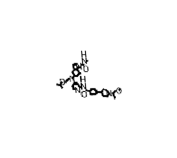 CNC(=O)n1ccc2cc(N(CCOC(C)C)c3ccnc(NC(=O)c4ccc(C5CCN(C(C)COC)CC5)cc4)c3)ccc21